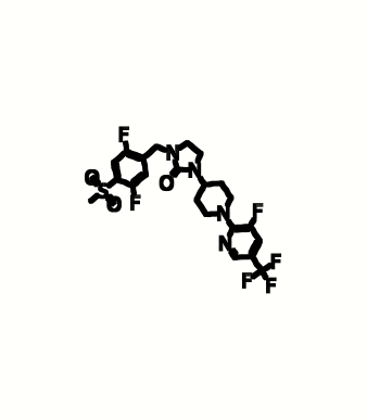 CS(=O)(=O)c1cc(F)c(CN2CCN(C3CCN(c4ncc(C(F)(F)F)cc4F)CC3)C2=O)cc1F